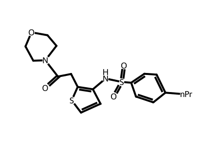 CCCc1ccc(S(=O)(=O)Nc2ccsc2CC(=O)N2CCOCC2)cc1